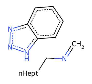 C=NCCCCCCCC.c1ccc2[nH]nnc2c1